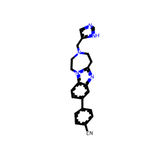 N#Cc1ccc(-c2ccc3c(c2)nc2n3CCN(Cc3cnc[nH]3)CC2)cc1